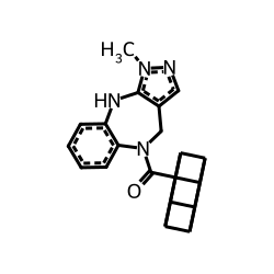 Cn1ncc2c1Nc1ccccc1N(C(=O)C13C4C5C6C4C1C6C53)C2